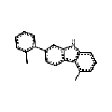 Cc1ccccc1-c1ccc2c(c1)[nH]c1cccc(C)c12